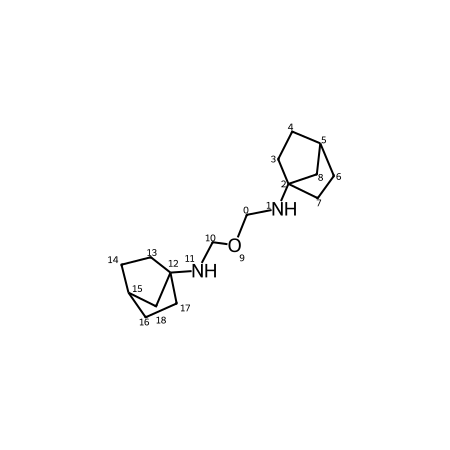 C(NC12CCC(CC1)C2)OCNC12CCC(CC1)C2